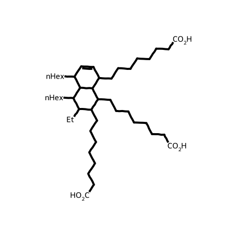 CCCCCCC1C=CC(CCCCCCCC(=O)O)C2C(CCCCCCCC(=O)O)C(CCCCCCCC(=O)O)C(CC)C(CCCCCC)C12